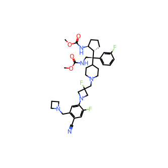 COC(=O)NC[C@@](c1cccc(F)c1)(C1CCN(CC2(F)CN(c3cc(CN4CCC4)c(C#N)cc3F)C2)CC1)[C@H]1CCC[C@@H]1NC(=O)OC